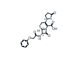 O=C(COc1ccccc1)N[C@@H]1C(=O)N2C(C(=O)O)=C([C@H]3CCC(=O)S3)CS[C@H]12